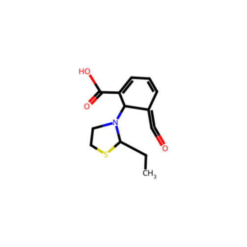 CCC1SCCN1C1C(=C=O)C=CC=C1C(=O)O